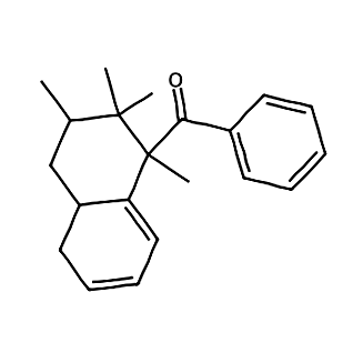 CC1CC2CC=CC=C2C(C)(C(=O)c2ccccc2)C1(C)C